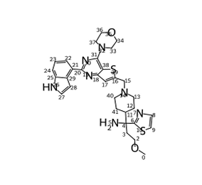 COCCC(N)(c1nccs1)C1CCN(Cc2cc3nc(-c4cccc5[nH]ccc45)nc(N4CCOCC4)c3s2)CC1